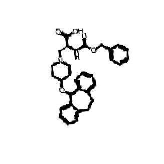 O=C(N[C@@H](CN1CCC(OC2c3ccccc3CCc3ccccc32)CC1)C(=O)O)OCc1ccccc1